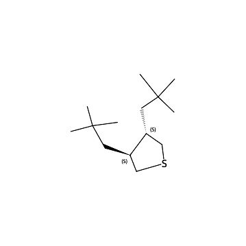 CC(C)(C)C[C@@H]1CSC[C@H]1CC(C)(C)C